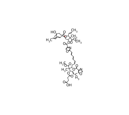 C/C=C/C=C/C=C\CC(OC(=O)c1coc(/C=C/C=C/C=C\CC(OC(=O)c2cocn2)C(C)(C(=O)OC)C(/C=C/C)OC(=O)CCC(=O)O)n1)C(C)(C(=O)OC)C(/C=C/C)OC(=O)CCC(=O)O